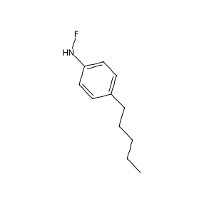 CCCCCc1ccc(NF)cc1